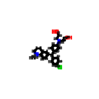 CCCN1CCCc2cc(C(c3ccc(Cl)cc3)c3ccc(N(CCO)CCO)cc3)ccc21